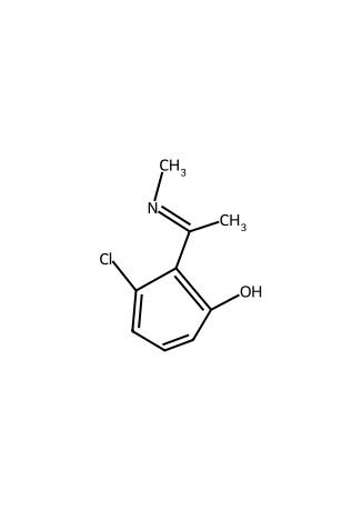 CN=C(C)c1c(O)cccc1Cl